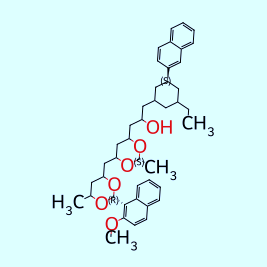 CCC1CC(CC(O)CC2CC(CC3CC(C)O[C@@H](c4c(OC)ccc5ccccc45)O3)O[C@@H](C)O2)C[C@@H](c2ccc3ccccc3c2)C1